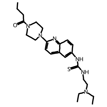 CCCC(=O)N1CCN(c2ccc3cc(NC(=S)NCCN(CC)CC)ccc3n2)CC1